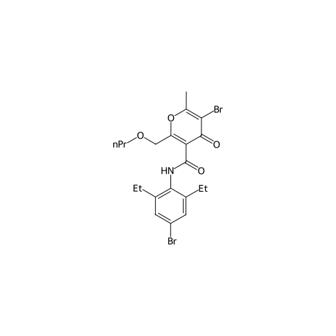 CCCOCc1oc(C)c(Br)c(=O)c1C(=O)Nc1c(CC)cc(Br)cc1CC